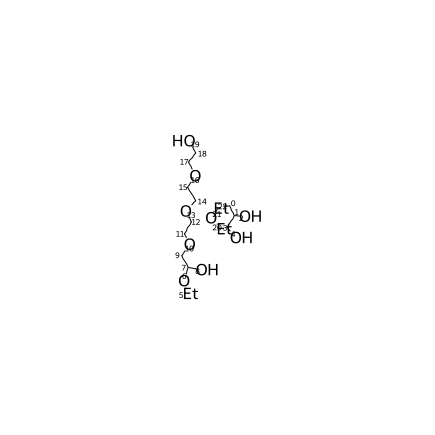 CC(O)CO.CCOC(O)COCCOCCOCCO.CCOCC